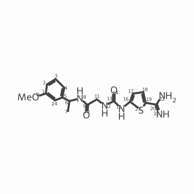 COc1cccc(C(C)NC(=O)CNC(=O)Nc2ccc(C(=N)N)s2)c1